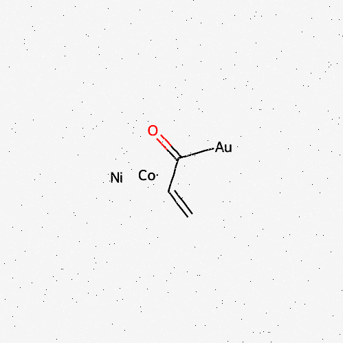 C=C[C](=O)[Au].[Co].[Ni]